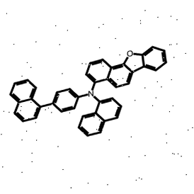 c1ccc2c(-c3ccc(N(c4cccc5ccccc45)c4cccc5c4ccc4c6ccccc6oc54)cc3)cccc2c1